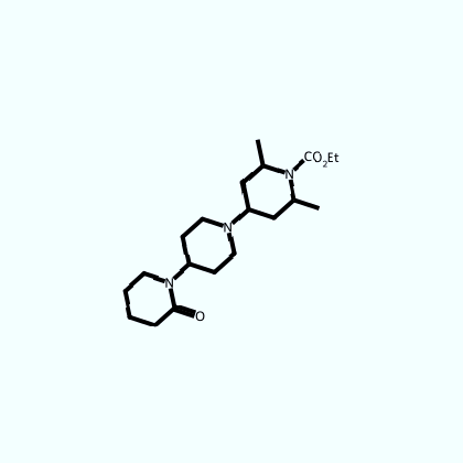 CCOC(=O)N1C(C)CC(N2CCC(N3CCCCC3=O)CC2)CC1C